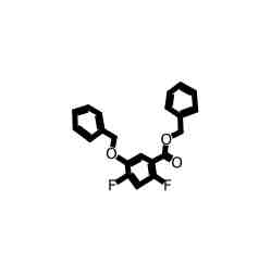 O=C(OCc1ccccc1)c1cc(OCc2ccccc2)c(F)cc1F